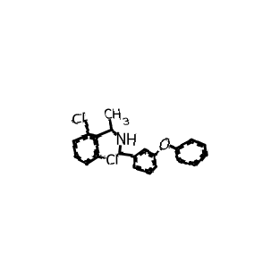 CC(NCc1cccc(Oc2ccccc2)c1)c1c(Cl)cccc1Cl